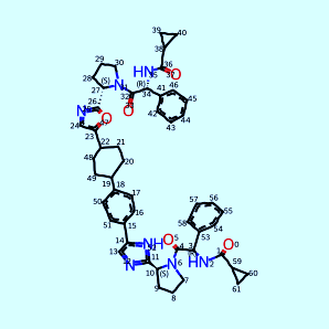 O=C(N[C@@H](C(=O)N1CCC[C@H]1c1ncc(-c2ccc(C3CCC(c4cnc([C@@H]5CCCN5C(=O)[C@H](NC(=O)C5CC5)c5ccccc5)o4)CC3)cc2)[nH]1)c1ccccc1)C1CC1